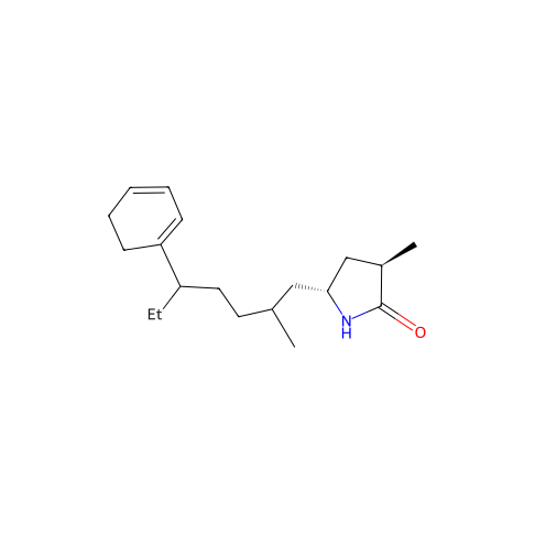 CCC(CCC(C)C[C@@H]1C[C@@H](C)C(=O)N1)C1=CC=CCC1